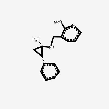 COc1ncccc1CN[C@]1(C)C[C@H]1c1ccccc1